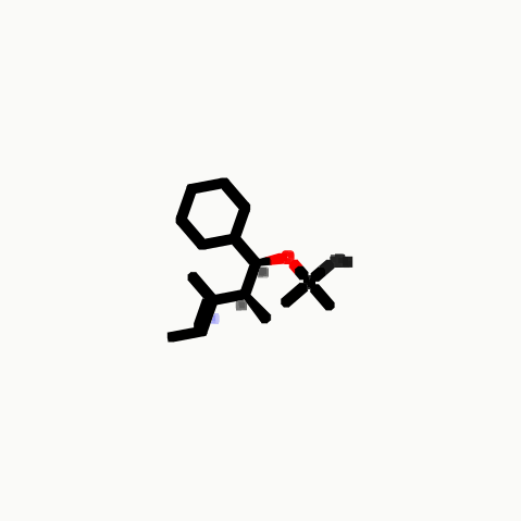 C/C=C(\C)[C@H](C)[C@H](O[Si](C)(C)C(C)(C)C)C1CCCCC1